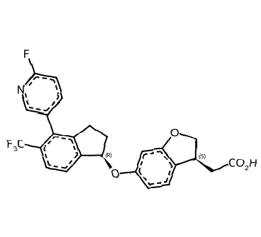 O=C(O)C[C@@H]1COc2cc(O[C@@H]3CCc4c3ccc(C(F)(F)F)c4-c3ccc(F)nc3)ccc21